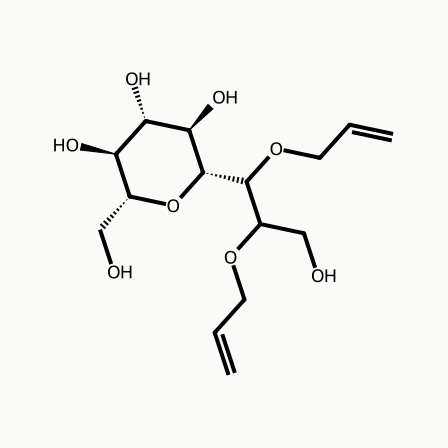 C=CCOC(CO)C(OCC=C)[C@@H]1O[C@H](CO)[C@@H](O)[C@H](O)[C@H]1O